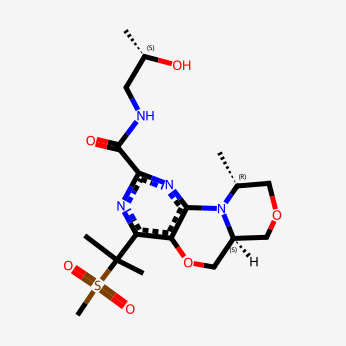 C[C@H](O)CNC(=O)c1nc2c(c(C(C)(C)S(C)(=O)=O)n1)OC[C@@H]1COC[C@@H](C)N21